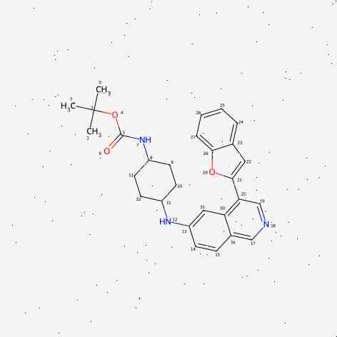 CC(C)(C)OC(=O)NC1CCC(Nc2ccc3cncc(-c4cc5ccccc5o4)c3c2)CC1